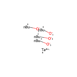 CCCC[O-].CCCC[O-].CCCC[O-].CCCC[O-].[Ta+4]